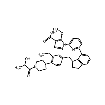 CCc1cc(CC2CCc3cccc(-c4cccc(-n5ncc(C(=O)O)c5OC)n4)c32)ccc1C1CCN(C(=O)C(C)O)CC1